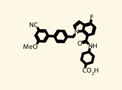 COc1cc(C#N)cc(-c2ccc(Cn3ccc4c(F)ccc(C(=O)NC5CCC(C(=O)O)CC5)c43)cc2)c1